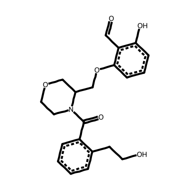 O=Cc1c(O)cccc1OCC1COCCN1C(=O)c1ccccc1CCO